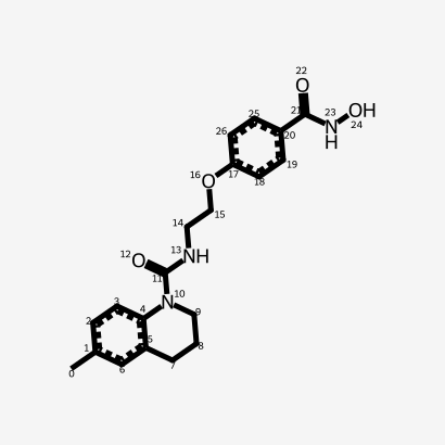 Cc1ccc2c(c1)CCCN2C(=O)NCCOc1ccc(C(=O)NO)cc1